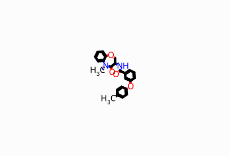 Cc1ccc(Oc2cccc(C(=O)NC3COc4ccccc4N(C)C3=O)c2)cc1